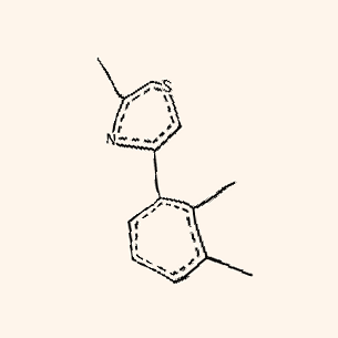 Cc1nc(-c2cccc(C)c2C)cs1